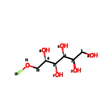 OC[C@@H](O)[C@@H](O)[C@H](O)[C@@H](O)COF